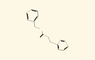 O=C(CCc1ccccc1)OCc1ccccc1.[Pd]